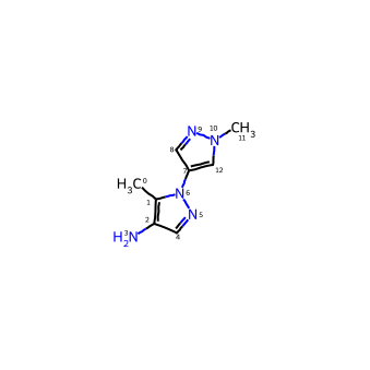 Cc1c(N)cnn1-c1cnn(C)c1